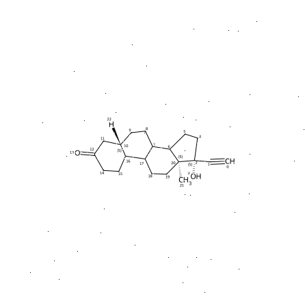 C#C[C@]1(O)CCC2C3CC[C@H]4CC(=O)CCC4C3CC[C@@]21C